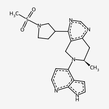 C[C@@H]1Cc2ncnc(C3CCN(S(C)(=O)=O)C3)c2CN1c1ccnc2[nH]ccc12